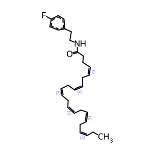 CC/C=C\C/C=C\C/C=C\C/C=C\C/C=C\C/C=C\CCC(=O)NCCc1ccc(F)cc1